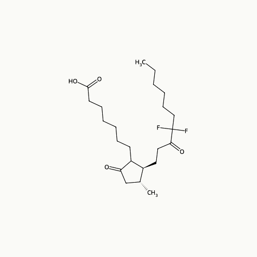 CCCCCCC(F)(F)C(=O)CC[C@@H]1C(CCCCCCC(=O)O)C(=O)C[C@H]1C